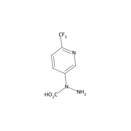 NN(C(=O)O)c1ccc(C(F)(F)F)nc1